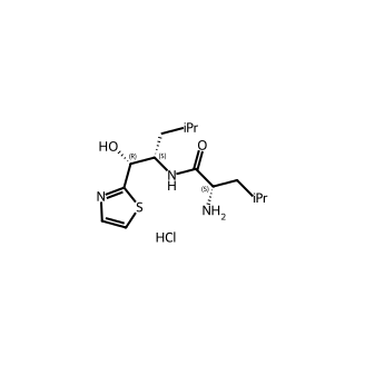 CC(C)C[C@H](NC(=O)[C@@H](N)CC(C)C)[C@@H](O)c1nccs1.Cl